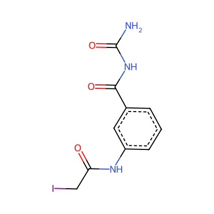 NC(=O)NC(=O)c1cccc(NC(=O)CI)c1